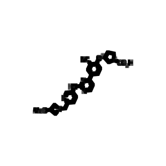 COC1CN(Cc2ccc(Nc3nccc(-c4ccc(O[C@@H]5CCN(C(=O)O)C5)c(C#N)c4)n3)cn2)C1